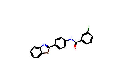 O=C(Nc1ccc(-c2nc3ccccc3s2)cc1)c1cccc(F)c1